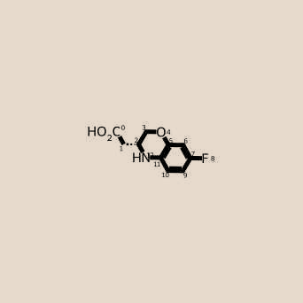 O=C(O)C[C@@H]1COc2cc(F)ccc2N1